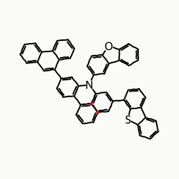 c1ccc(-c2ccc(-c3cc4ccccc4c4ccccc34)cc2N(c2cccc(-c3cccc4c3sc3ccccc34)c2)c2ccc3oc4ccccc4c3c2)cc1